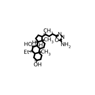 CC[C@@H]1C2C[C@H](O)CCC2(C)C2CCC3(C)C([C@H](C)CCc4nnc(N)o4)CC[C@H]3[C@@H]2[C@@H]1O